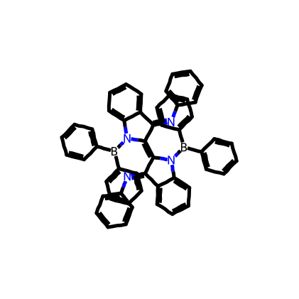 c1ccc(/N=C2/C(=C3/C(=N/c4ccccc4)c4ccccc4N3B(c3ccccc3)c3ccccc3)N(B(c3ccccc3)c3ccccc3)c3ccccc32)cc1